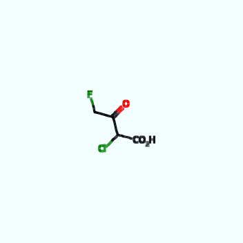 O=C(O)C(Cl)C(=O)CF